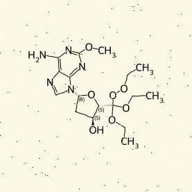 CCOOC(OCC)(OCC)[C@H]1O[C@@H](n2cnc3c(N)nc(OC)nc32)C[C@@H]1O